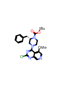 COc1cncc2nc(Cl)nc(N3CCN(C(=O)OC(C)(C)C)[C@@H](Cc4ccccc4)C3)c12